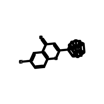 O=c1cc([C]23[CH]4[CH]5[CH]6[CH]2[Fe]56432789[CH]3[CH]2[CH]7[CH]8[CH]39)oc2ccc(Cl)cc12